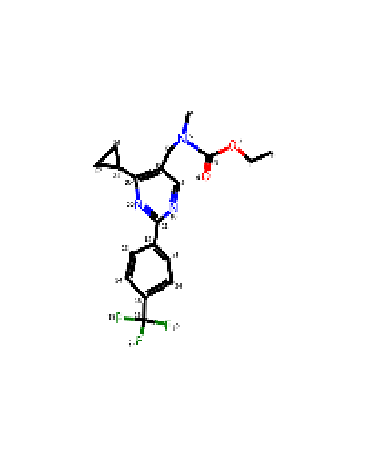 CCOC(=O)N(C)Cc1cnc(-c2ccc(C(F)(F)F)cc2)nc1C1CC1